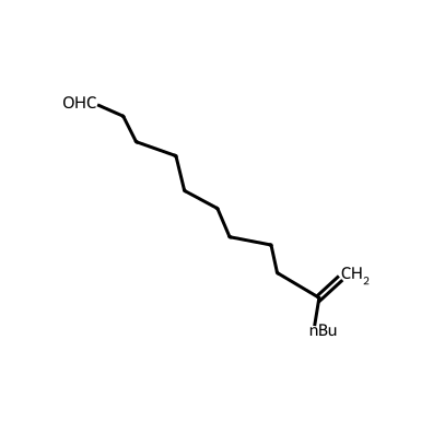 C=C(CCCC)CCCCCCCCC=O